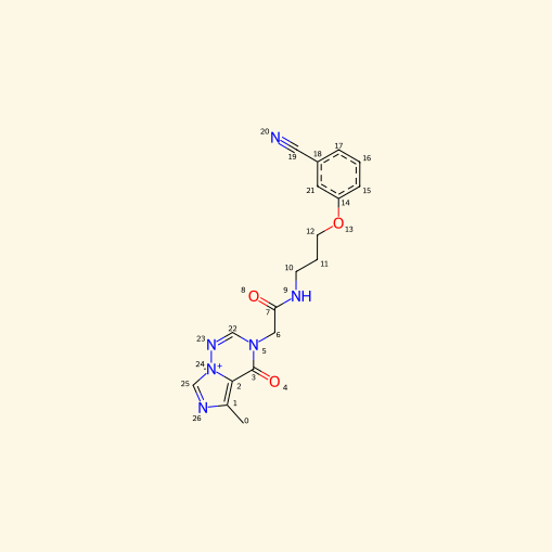 CC1=C2C(=O)N(CC(=O)NCCCOc3cccc(C#N)c3)C=N[N+]2C=N1